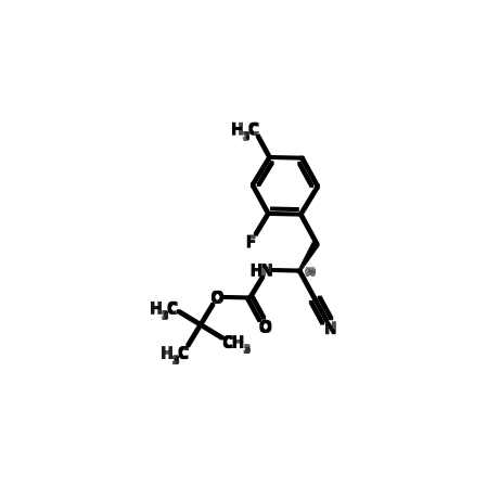 Cc1ccc(C[C@@H](C#N)NC(=O)OC(C)(C)C)c(F)c1